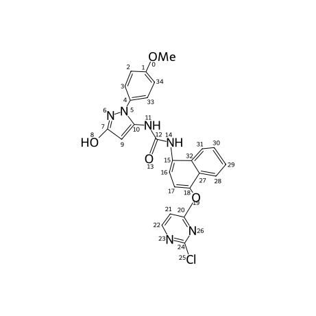 COc1ccc(-n2nc(O)cc2NC(=O)Nc2ccc(Oc3ccnc(Cl)n3)c3ccccc23)cc1